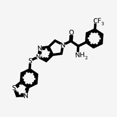 NC(C(=O)N1Cc2cn(Sc3ccc4ncsc4c3)nc2C1)c1cccc(C(F)(F)F)c1